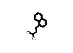 ClC(Cl)CCc1cccc2ccccc12